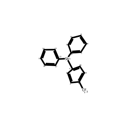 FC(F)(F)c1cc[c]([Sb]([c]2ccccc2)[c]2ccccc2)cc1